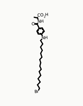 C[C@H](NC(=O)c1ccc(NCCCCCCCCCCCCCCCCBr)cc1)C(=O)O